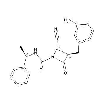 C[C@@H](NC(=O)N1C(=O)[C@H](Cc2ccnc(N)c2)[C@H]1C#N)c1ccccc1